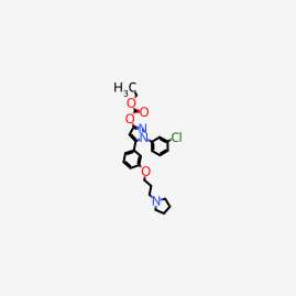 CCOC(=O)Oc1cc(-c2cccc(OCCCN3CCCC3)c2)n(-c2cccc(Cl)c2)n1